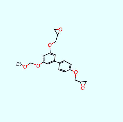 CCOCOc1cc(OCC2CO2)cc(-c2ccc(OCC3CO3)cc2)c1